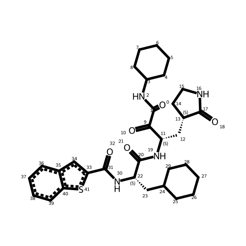 O=C(NC1CCCCC1)C(=O)[C@H](C[C@@H]1CCNC1=O)NC(=O)[C@H](CC1CCCCC1)NC(=O)c1cc2ccccc2s1